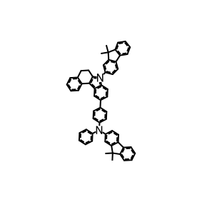 CC1(C)c2ccccc2-c2ccc(N(c3ccccc3)c3ccc(-c4ccc5c(c4)c4c(n5-c5ccc6c(c5)C(C)(C)c5ccccc5-6)CCc5ccccc5-4)cc3)cc21